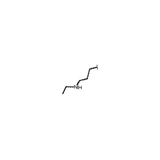 CCNCCCI